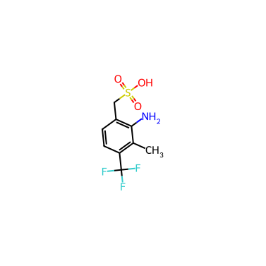 Cc1c(C(F)(F)F)ccc(CS(=O)(=O)O)c1N